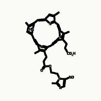 CC1=Cc2cc3[nH]c(cc4nc(cc5[nH]c(cc1n2)c(C)c5CCC(=O)O)C(CCC(=O)OCCn1c(N=O)cnc1C)=C4C)cc3C